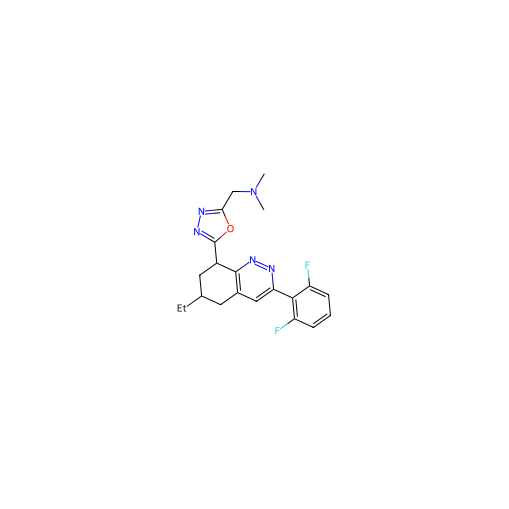 CCC1Cc2cc(-c3c(F)cccc3F)nnc2C(c2nnc(CN(C)C)o2)C1